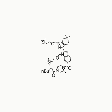 CCCCOC(=O)N1CCN(C(=O)c2ccc3cc(-c4nn(COCC[Si](C)(C)C)c5c4CCC(C)(C)C5)n(COCC[Si](C)(C)C)c3c2)[C@@H](C)C1